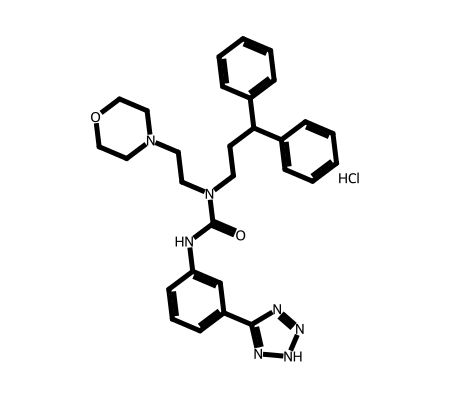 Cl.O=C(Nc1cccc(-c2nn[nH]n2)c1)N(CCC(c1ccccc1)c1ccccc1)CCN1CCOCC1